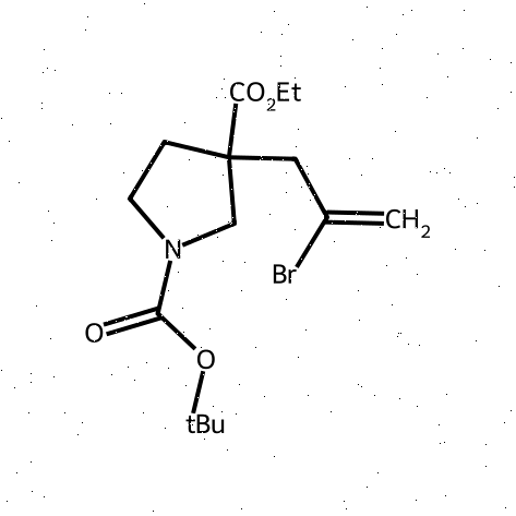 C=C(Br)CC1(C(=O)OCC)CCN(C(=O)OC(C)(C)C)C1